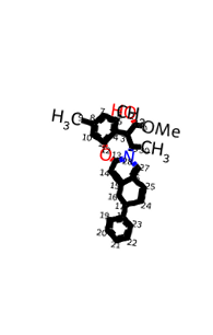 COC(O)C1c2c(C)cc(C)cc2OC2C=C3CC(c4ccccc4)C=CC3=CN2C1C